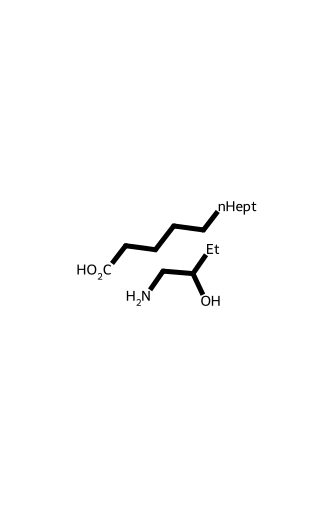 CCC(O)CN.CCCCCCCCCCCC(=O)O